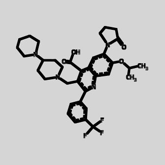 CC(C)Oc1cc2nc(-c3cccc(C(F)(F)F)c3)c(CN3CCC(N4CCCCC4)CC3)c(C(=O)O)c2cc1N1CCCC1=O